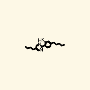 CCCCCc1ccc(-c2ncc(CCCC)cn2)c(S)c1